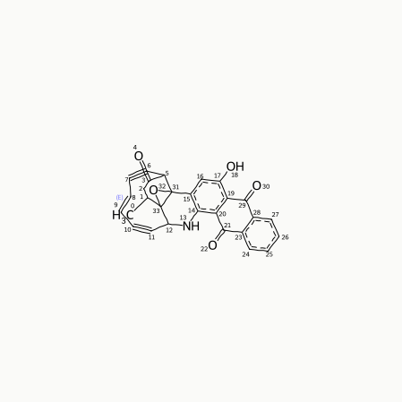 CC1CC(=O)C2C#C/C=C/C#CC3Nc4c(cc(O)c5c4C(=O)c4ccccc4C5=O)C24OC134